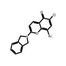 CC(=O)c1cc(Cl)c(=O)c2ccc(N3Cc4ccccc4C3)oc1-2